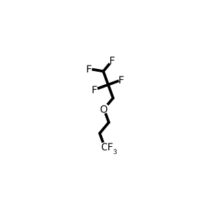 FC(F)C(F)(F)COCCC(F)(F)F